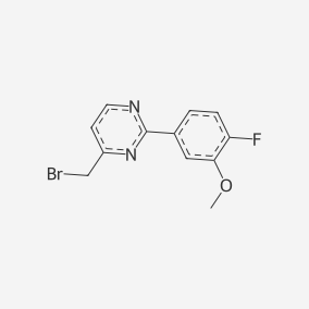 COc1cc(-c2nccc(CBr)n2)ccc1F